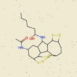 CCCCCC(O)NC1C2CC(NC(C)=O)CC3SSC4C5CCC6SSC6C1C4C2C3SS5